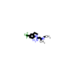 CC/N=C(C)\C=C(/N)N1CCc2cc(C(F)(F)F)ccc21